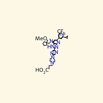 COCC1(CN(C)c2cc(-c3cc(C4CC4)nc(C(F)(F)F)c3)nc3nc(-c4cnc(N5CCN(CCCC(=O)O)CC5)cn4)[nH]c23)CCCC1